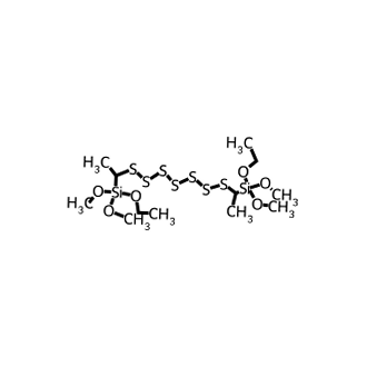 CCO[Si](OC)(OC)C(C)SSSSSSSC(C)[Si](OC)(OC)OCC